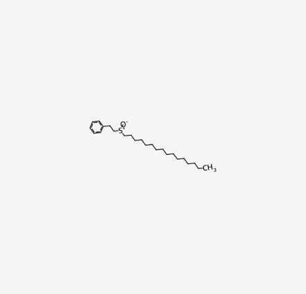 CCCCCCCCCCCCCCCC[S+]([O-])CCc1ccccc1